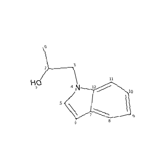 CC(O)Cn1ccc2ccccc21